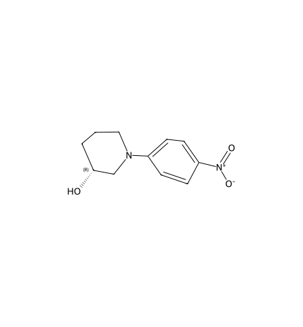 O=[N+]([O-])c1ccc(N2CCC[C@@H](O)C2)cc1